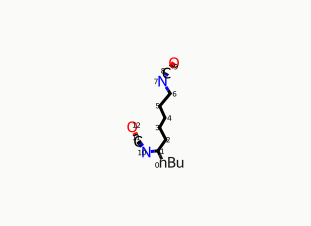 CCCCC(CCCCCN=C=O)N=C=O